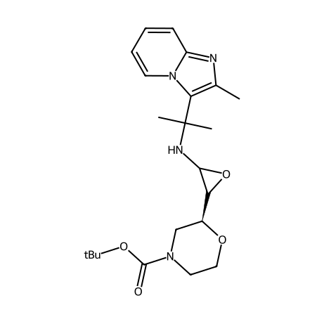 Cc1nc2ccccn2c1C(C)(C)NC1OC1[C@@H]1CN(C(=O)OC(C)(C)C)CCO1